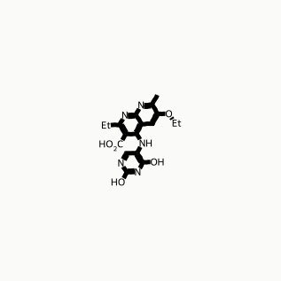 CCOc1cc2c(Nc3cnc(O)nc3O)c(C(=O)O)c(CC)nc2nc1C